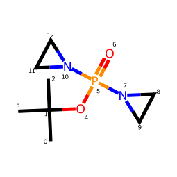 CC(C)(C)OP(=O)(N1CC1)N1CC1